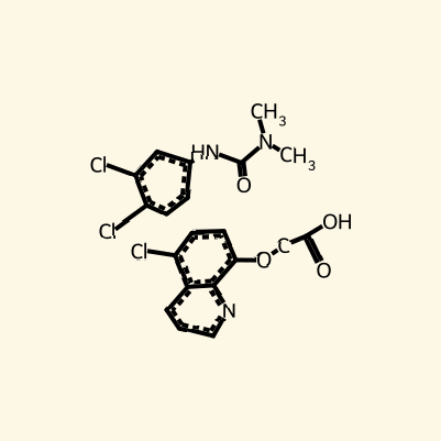 CN(C)C(=O)Nc1ccc(Cl)c(Cl)c1.O=C(O)COc1ccc(Cl)c2cccnc12